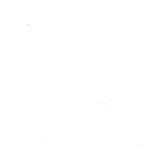 CCCOc1ccc(F)c2c(=O)c(-c3ccc(N(C)C)cc3)c(C)[nH]c12